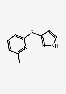 Cc1cccc(Sc2cc[nH]n2)n1